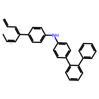 C=C/C=C(\C=C/C)c1ccc(Nc2ccc(-c3ccccc3-c3ccccc3)cc2)cc1